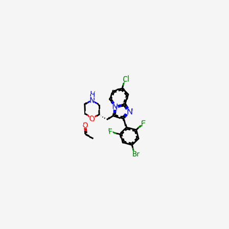 CC=O.Fc1cc(Br)cc(F)c1-c1nc2cc(Cl)ccn2c1C[C@H]1CNCCO1